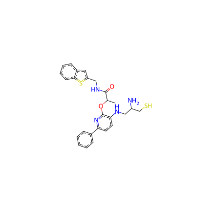 CC(Oc1nc(-c2ccccc2)ccc1NCC(N)CS)C(=O)NCc1cc2ccccc2s1